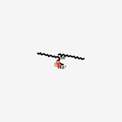 CCCCCCCCCCCCCC(CC)[Se]C(CC)CCCCCCCCCCCCC.CCCS(=O)(=O)[O-].[Na+]